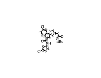 CC(C)(C)OC(=O)CN1CCC2(C1)CN(C(=O)Nc1ncc(Cl)s1)c1ccc(Cl)cc12